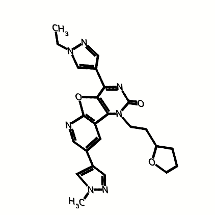 CCn1cc(-c2nc(=O)n(CCC3CCCO3)c3c2oc2ncc(-c4cnn(C)c4)cc23)cn1